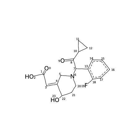 O=C(O)C=C1CN(C(C(=O)C2CC2)c2ccccc2F)CCC1O